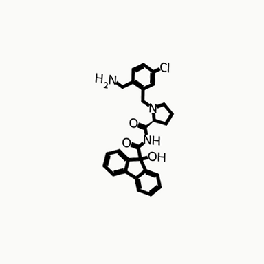 NCc1ccc(Cl)cc1CN1CCC[C@H]1C(=O)NC(=O)C1(O)c2ccccc2-c2ccccc21